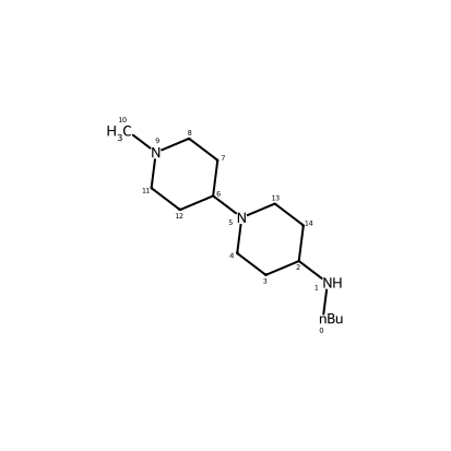 CCCCNC1CCN(C2CCN(C)CC2)CC1